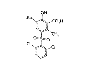 Cc1c(S(=O)(=O)c2c(Cl)cccc2Cl)cc(C(C)(C)C)c(O)c1C(=O)O